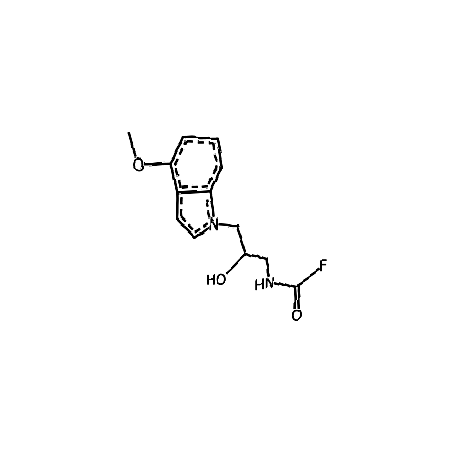 COc1cccc2c1ccn2CC(O)CNC(=O)F